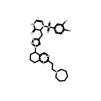 O=C1NC=CN(S(=O)(=O)c2ccc(Cl)c(Cl)c2)C1Cc1cn(C2CCCc3nc(CCN4CCCCCC4)ncc32)nn1